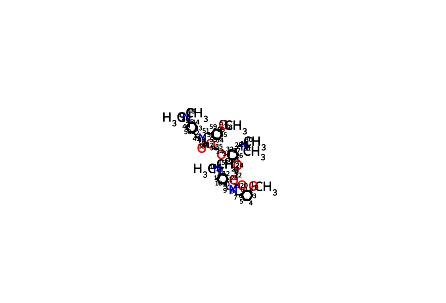 COc1cccc(CN(Cc2ccc(N(C)C)cc2)C(=O)OCCOc2cc(CN(C)C)cc(OCCOC(=O)N(Cc3ccc(N(C)C)cc3)Cc3cccc(OC)c3)c2)c1